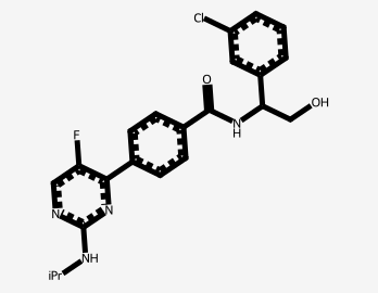 CC(C)Nc1ncc(F)c(-c2ccc(C(=O)NC(CO)c3cccc(Cl)c3)cc2)n1